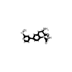 CCOc1cc(-c2ccc3c(c2)CC(N)c2n[nH]c(=O)n2-3)ccn1